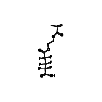 C=C(C)C(=O)OCCOC(=O)C(F)(F)C(F)(F)C(F)(F)C(=O)O